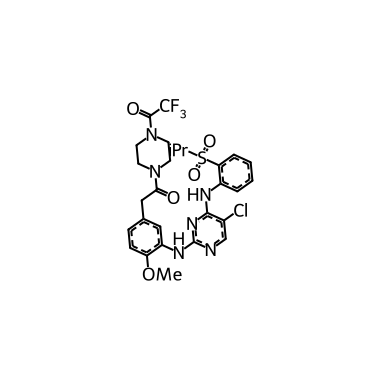 COc1ccc(CC(=O)N2CCN(C(=O)C(F)(F)F)CC2)cc1Nc1ncc(Cl)c(Nc2ccccc2S(=O)(=O)C(C)C)n1